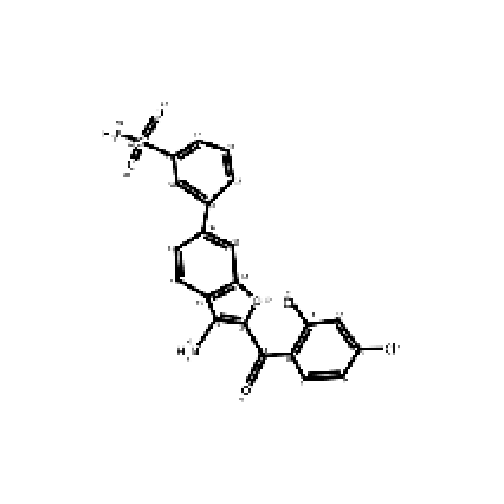 Nc1c(C(=O)c2ccc(Cl)cc2Cl)oc2cc(-c3cccc(S(N)(=O)=O)c3)ccc12